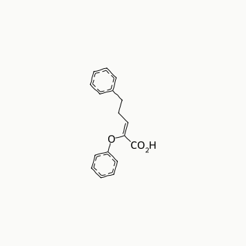 O=C(O)C(=CCCc1ccccc1)Oc1ccccc1